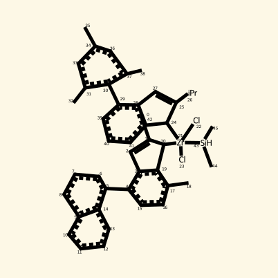 CC1=Cc2c(-c3cccc4ccccc34)ccc(C)c2[CH]1[Zr]([Cl])([Cl])([CH]1C(C(C)C)=Cc2c(-c3c(C)cc(C)cc3C)cccc21)[SiH](C)C